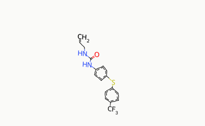 C=CCNC(=O)Nc1ccc(Sc2ccc(C(F)(F)F)cc2)cc1